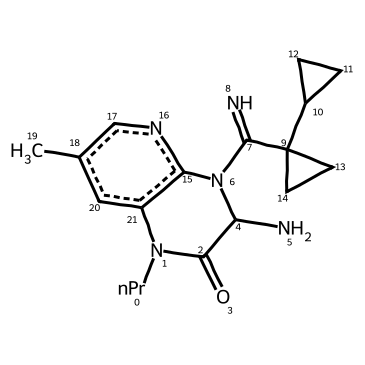 CCCN1C(=O)C(N)N(C(=N)C2(C3CC3)CC2)c2ncc(C)cc21